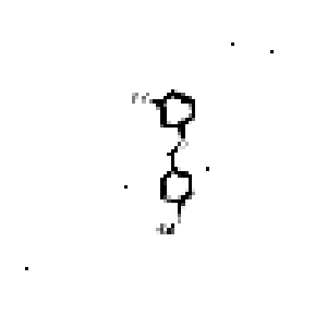 CC(C)(C)Oc1ccc(COc2cccc(C(F)(F)F)c2)cc1